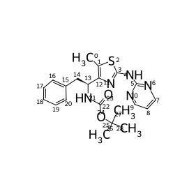 Cc1sc(Nc2ncccn2)nc1[C@H](Cc1ccccc1)NC(=O)OC(C)(C)C